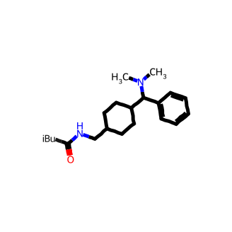 CCC(C)C(=O)NCC1CCC(C(c2ccccc2)N(C)C)CC1